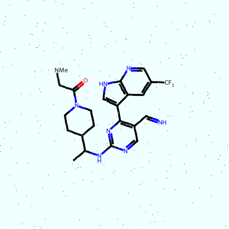 CNCC(=O)N1CCC(C(C)Nc2ncc(C=N)c(-c3c[nH]c4ncc(C(F)(F)F)cc34)n2)CC1